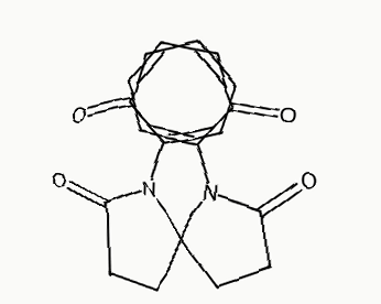 O=C1CC=CC=C1N1C(=O)CCC12CCC(=O)N2C1=CC=CCC1=O